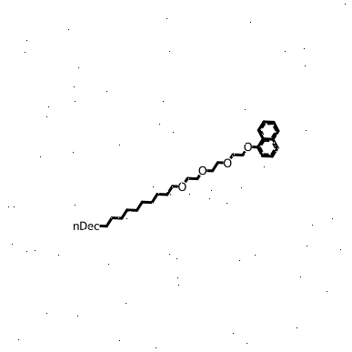 CCCCCCCCCCCCCCCCCC[CH]COCCOCCOCCOc1cccc2ccccc12